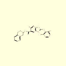 O=C(NC1CCc2ccccc2C1)c1cc2nc(Nc3c(Cl)cccc3Cl)[nH]c2cc1F